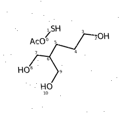 CC(=O)OS.OCCCC(CO)CO